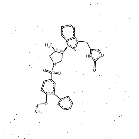 CCOc1ccc(S(=O)(=O)N2C[C@@H](C)[C@@H](n3nc(Cc4noc(=O)[nH]4)c4ccccc43)C2)cc1-c1ccccc1